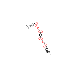 O=C(Cc1ccc([N+](=O)[O-])cc1)OCCOCCOC(=O)c1ccc(C(=O)OCCOCCOC(=O)Cc2ccc([N+](=O)[O-])cc2)cc1